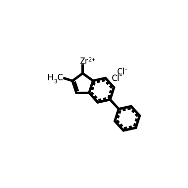 CC1=Cc2cc(-c3ccccc3)ccc2[CH]1[Zr+2].[Cl-].[Cl-]